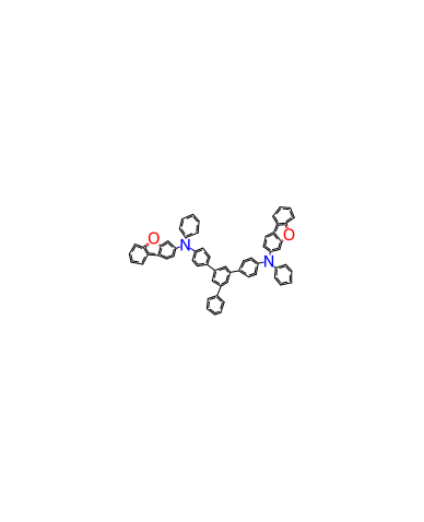 c1ccc(-c2cc(-c3ccc(N(c4ccccc4)c4ccc5c(c4)oc4ccccc45)cc3)cc(-c3ccc(N(c4ccccc4)c4ccc5c(c4)oc4ccccc45)cc3)c2)cc1